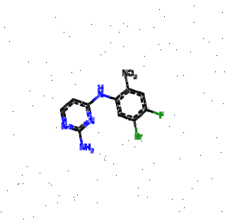 Nc1nccc(Nc2cc(Br)c(F)cc2[N+](=O)[O-])n1